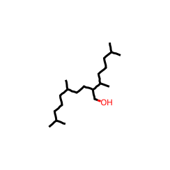 CC(C)CCCC(C)CCC(CO)C(C)CCCC(C)C